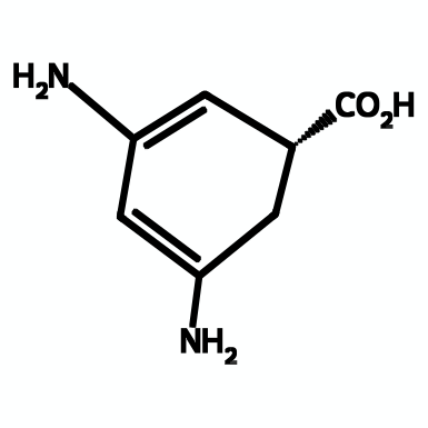 NC1=C[C@H](C(=O)O)CC(N)=C1